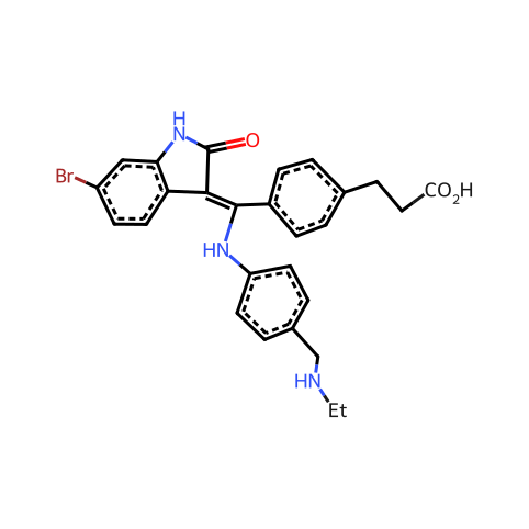 CCNCc1ccc(NC(=C2C(=O)Nc3cc(Br)ccc32)c2ccc(CCC(=O)O)cc2)cc1